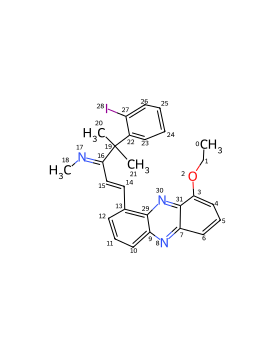 CCOc1cccc2nc3cccc(/C=C/C(=N\C)C(C)(C)c4ccccc4I)c3nc12